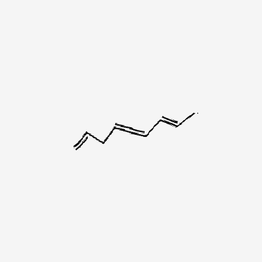 [CH2]/C=C/C=C/CC=C